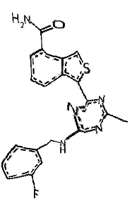 Cc1nc(NCc2cccc(F)c2)nc(-c2scc3c(C(N)=O)cccc23)n1